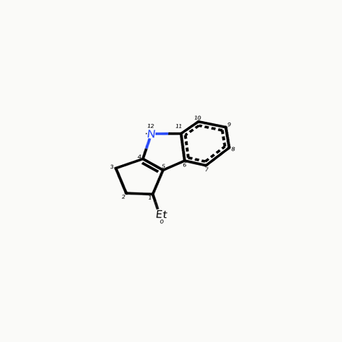 CCC1CCC2=C1c1ccccc1[N]2